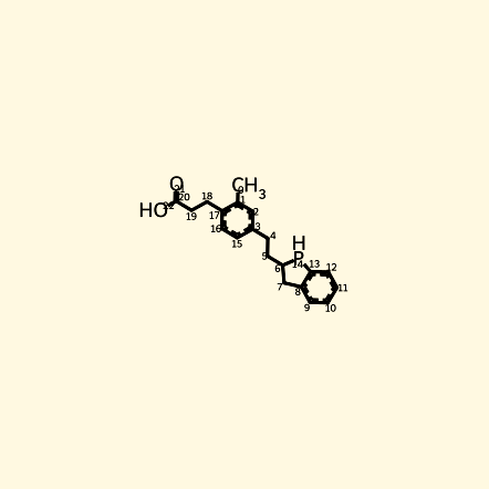 Cc1cc(CCC2Cc3ccccc3P2)ccc1CCC(=O)O